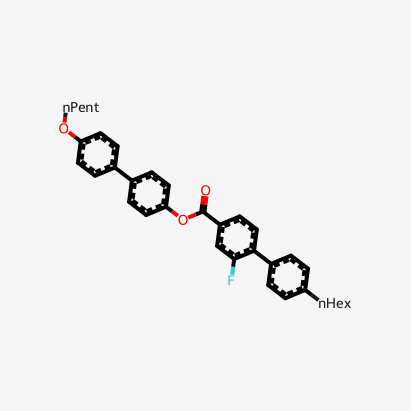 CCCCCCc1ccc(-c2ccc(C(=O)Oc3ccc(-c4ccc(OCCCCC)cc4)cc3)cc2F)cc1